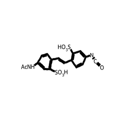 CC(=O)Nc1ccc(C=Cc2ccc(N=C=O)cc2S(=O)(=O)O)c(S(=O)(=O)O)c1